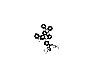 C=Cc1c(/C=C\C)sc2ccc(N(c3ccc4c(c3)sc3ccccc34)c3cccc4sc5c(N(c6ccccc6)c6ccccc6)cccc5c34)cc12